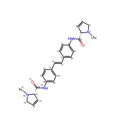 CC(=O)N1CC=C[C@H]1C(=O)Nc1ccc(/C=C/c2ccc(NC(=O)[C@@H]3C=CCN3C(C)=O)cc2)cc1